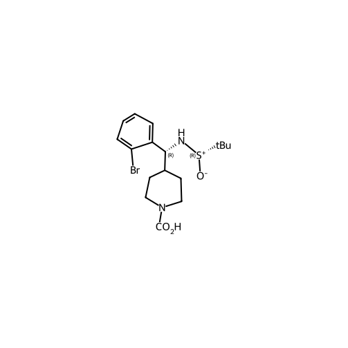 CC(C)(C)[S@+]([O-])N[C@@H](c1ccccc1Br)C1CCN(C(=O)O)CC1